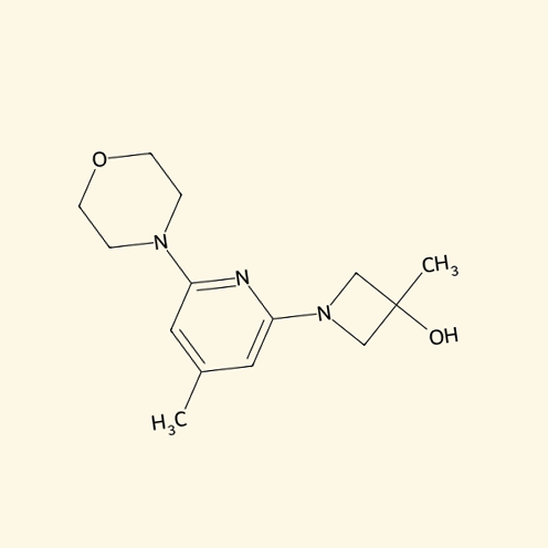 Cc1cc(N2CCOCC2)nc(N2CC(C)(O)C2)c1